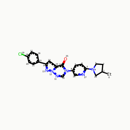 CCC1CCN(c2ccc(-n3cnn4nc(-c5ccc(Cl)cc5)cc4c3=O)cn2)C1